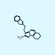 CC1=CC2C(=C1CCC1=Cc3ccccc3C1)C=CC1=C2CCCC1